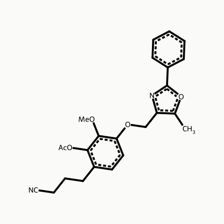 COc1c(OCc2nc(-c3ccccc3)oc2C)ccc(CCCC#N)c1OC(C)=O